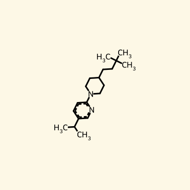 CC(C)c1ccc(N2CCC(CCC(C)(C)C)CC2)nc1